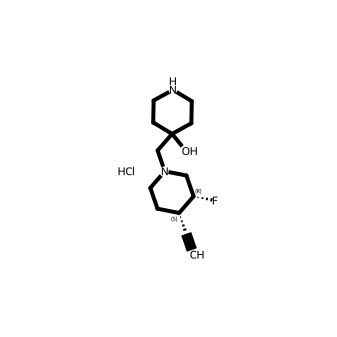 C#C[C@@H]1CCN(CC2(O)CCNCC2)C[C@@H]1F.Cl